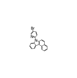 Brc1ccc(-n2c3ccccc3c3c4ccccc4ccc32)nc1